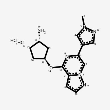 Cl.Cl.Cn1cc(-c2cn3nccc3c(O[C@H]3CC[C@H](N)C3)n2)cn1